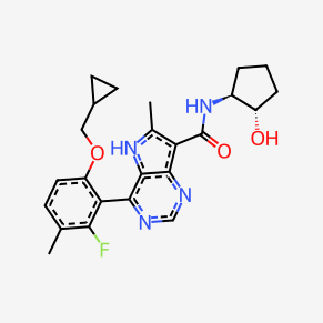 Cc1ccc(OCC2CC2)c(-c2ncnc3c(C(=O)N[C@H]4CCC[C@@H]4O)c(C)[nH]c23)c1F